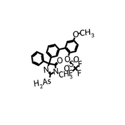 COc1ccc(OS(=O)(=O)C(F)(F)F)c(-c2cccc(C3(c4ccccc4)N=C([AsH2])N(C)C3=O)c2)c1